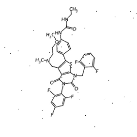 CCNC(=O)Nc1ccc(-c2sc3c(c2CN(C)CCOC)c(=O)n(-c2c(F)cc(F)cc2F)c(=O)n3Cc2c(F)cccc2F)cc1